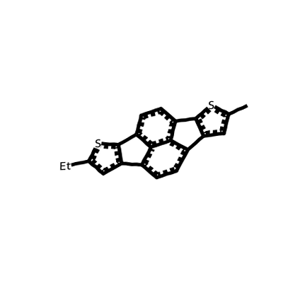 CCc1cc2c(s1)-c1ccc3c4c(ccc-2c14)-c1cc(C)sc1-3